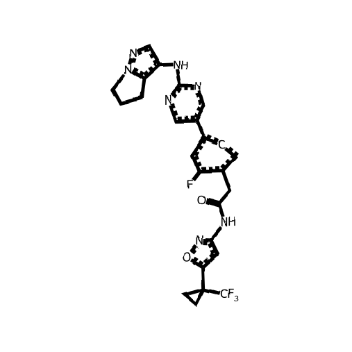 O=C(Cc1ccc(-c2cnc(Nc3cnn4c3CCC4)nc2)cc1F)Nc1cc(C2(C(F)(F)F)CC2)on1